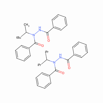 CC(C)C(C(C)C)N(NC(=O)c1ccccc1)C(=O)c1ccccc1.CC(N(NC(=O)c1ccccc1)C(=O)c1ccccc1)C(C)(C)C